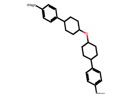 CCCCCCCc1ccc(C2CCC(OC3CCC(c4ccc(CCCCCCC)cc4)CC3)CC2)cc1